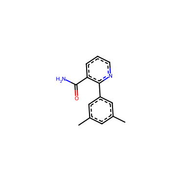 Cc1cc(C)cc(-c2ncccc2C(N)=O)c1